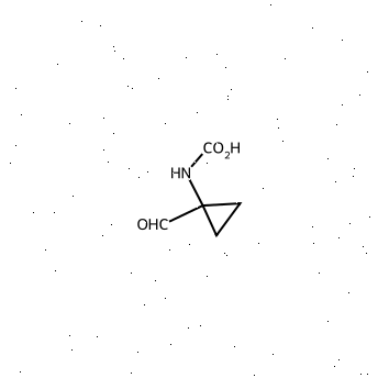 O=CC1(NC(=O)O)CC1